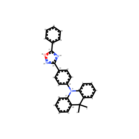 CC1(C)c2ccccc2N(c2ccc(-c3noc(-c4ccccc4)n3)cc2)c2ccccc21